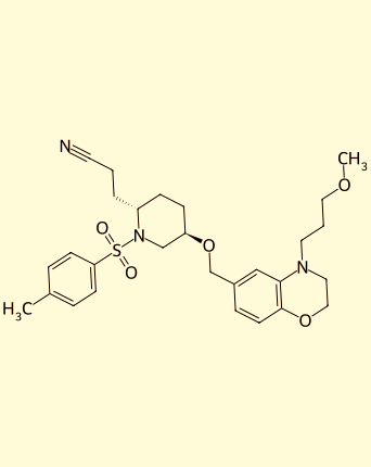 COCCCN1CCOc2ccc(CO[C@@H]3CC[C@@H](CCC#N)N(S(=O)(=O)c4ccc(C)cc4)C3)cc21